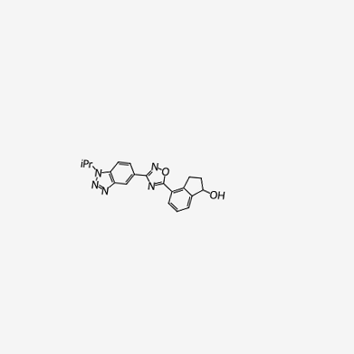 CC(C)n1nnc2cc(-c3noc(-c4cccc5c4CCC5O)n3)ccc21